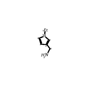 CCn1ccc(CN)c1